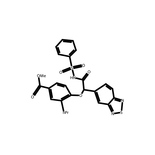 CCCc1cc(C(=O)OC)ccc1OC(C(=O)NS(=O)(=O)c1ccccc1)c1ccc2nsnc2c1